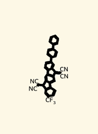 N#CC(C#N)=C1c2cc(-c3ccc(-c4ccccc4)cc3)ccc2-c2cc3c(cc21)-c1ccc(C(F)(F)F)cc1C3C(C#N)C#N